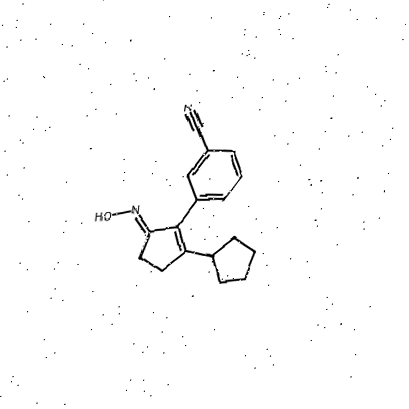 N#Cc1cccc(C2=C(C3CCCC3)CCC2=NO)c1